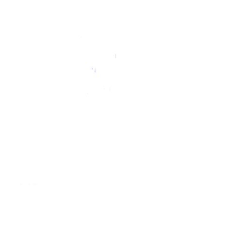 [2H]C([2H])(c1ccc(-c2ccco2)cc1)N(C(=O)c1ccccc1OCCCCCC(=O)O)C1CC1